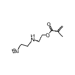 C=C(C)C(=O)OCCNCCC(C)(C)C